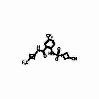 N#CC1CN(S(=O)(=O)Nc2ccc(C(F)(F)F)cc2C(=O)NC23CC(C(F)(F)F)(C2)C3)C1